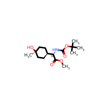 COC(=O)[C@@H](NC(=O)OC(C)(C)C)[C@H]1CC[C@@](C)(O)CC1